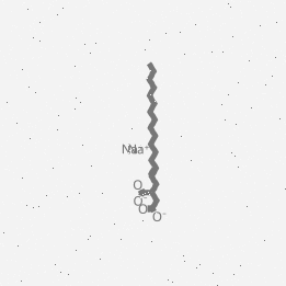 CCCCCCCCCCCCCC=CCC(CC(=O)[O-])C(=O)[O-].[Na+].[Na+]